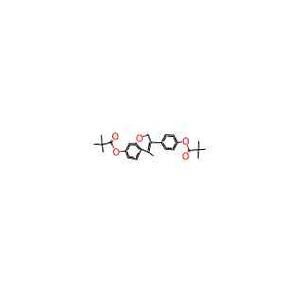 CC1=C(c2ccc(OC(=O)C(C)(C)C)cc2)COc2cc(OC(=O)C(C)(C)C)ccc21